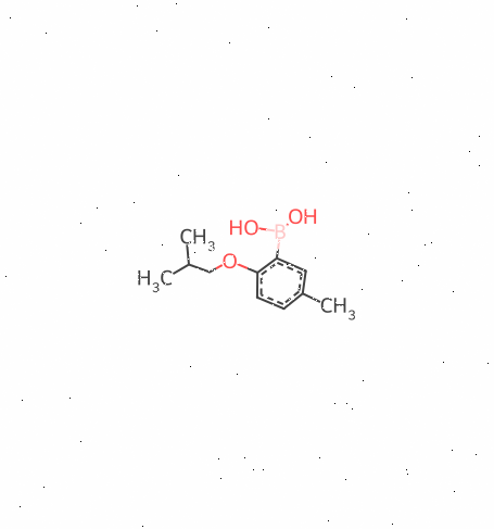 Cc1ccc(OCC(C)C)c(B(O)O)c1